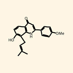 COc1ccc(-c2cc(=O)c3ccc(O)c(CC=C(C)C)c3[nH]2)cc1